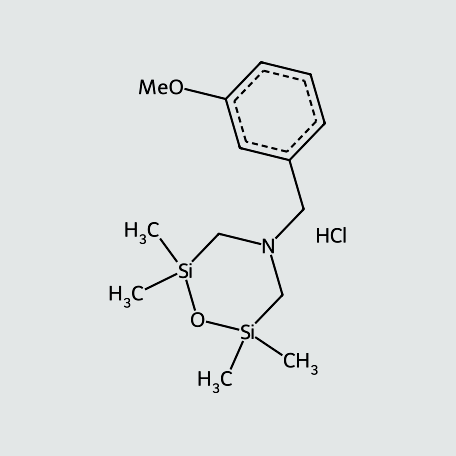 COc1cccc(CN2C[Si](C)(C)O[Si](C)(C)C2)c1.Cl